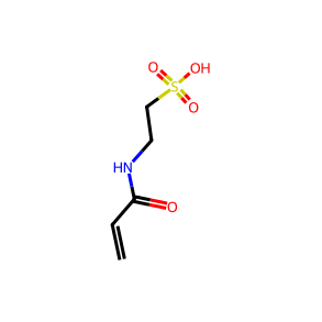 C=CC(=O)NCCS(=O)(=O)O